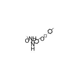 CC(=O)Nc1c[nH]c2ccc(CO[C@H]3C[C@@H](c4ccc(C)cc4)C3)cc12